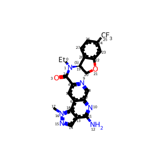 CCN(C(=O)c1cc2c(cn1)nc(N)c1cnn(C)c12)[C@@H]1COc2cc(C(F)(F)F)ccc21